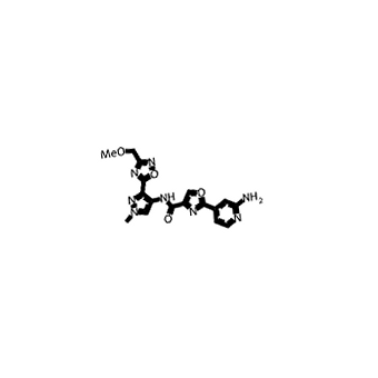 COCc1noc(-c2nn(C)cc2NC(=O)c2coc(-c3ccnc(N)c3)n2)n1